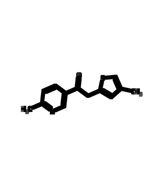 Cc1csc(CC(=O)c2ccc(C)nc2)c1